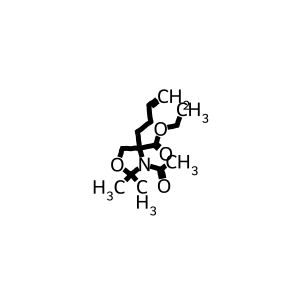 C=CCCC1(C(=O)OCC)COC(C)(C)N1C(C)=O